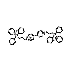 c1ccc([PH](CCC[n+]2ccc(-c3cc[n+](CCC[PH](c4ccccc4)(c4ccccc4)c4ccccc4)cc3)cc2)(c2ccccc2)c2ccccc2)cc1